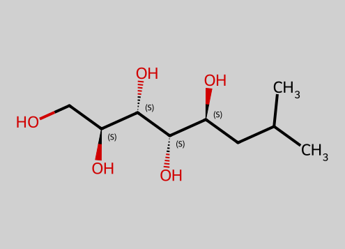 CC(C)C[C@H](O)[C@H](O)[C@@H](O)[C@@H](O)CO